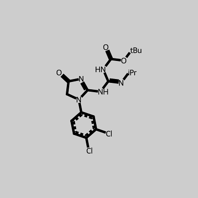 CC(C)N=C(NC(=O)OC(C)(C)C)NC1=NC(=O)CN1c1ccc(Cl)c(Cl)c1